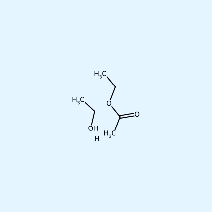 CCO.CCOC(C)=O.[H+]